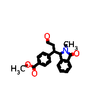 COC(=O)c1ccc(C(CC=O)C2c3ccccc3C(=O)N2C)cc1